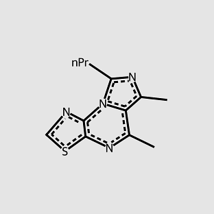 CCCc1nc(C)c2c(C)nc3scnc3n12